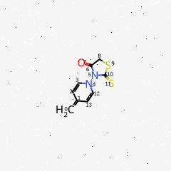 C=C1C=CN(N2C(=O)CSC2=S)C=C1